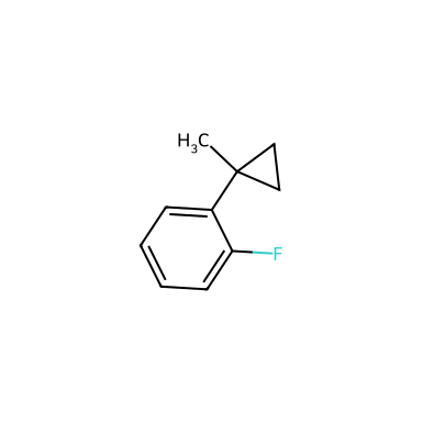 CC1(c2ccccc2F)CC1